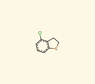 Clc1cccc2c1CCS2